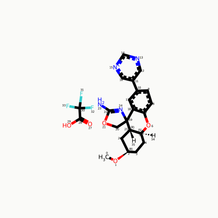 CO[C@@H]1CC[C@@H]2Oc3ccc(-c4cncnc4)cc3C3(COC(N)=N3)[C@H]2C1.O=C(O)C(F)(F)F